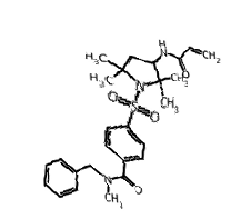 C=CC(=O)NC1CC(C)(C)N(S(=O)(=O)c2ccc(C(=O)N(C)Cc3ccccc3)cc2)C1(C)C